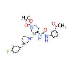 COC(=O)N1CC[C@@H](NC(=O)Nc2cccc(C(C)=O)c2)[C@H](CN2CCC[C@@H](Cc3ccc(F)cc3)C2)C1